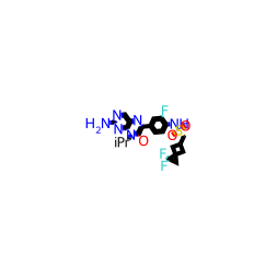 CC(C)n1c(=O)c(-c2ccc(NS(=O)(=O)CC3CC4(C3)CC4(F)F)c(F)c2)nc2cnc(N)nc21